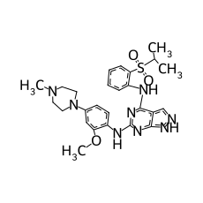 COc1cc(N2CCN(C)CC2)ccc1Nc1nc(Nc2ccccc2S(=O)(=O)C(C)C)c2cn[nH]c2n1